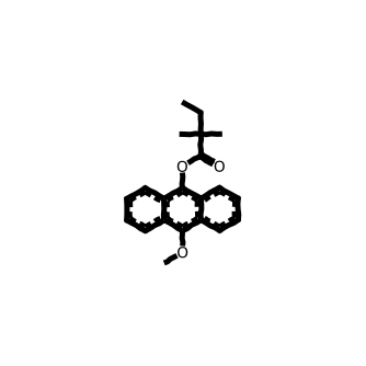 CCC(C)(C)C(=O)Oc1c2ccccc2c(OC)c2ccccc12